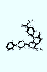 Cc1nc(N2CCN(c3ccccc3)CC2)nc2c1ccc(=O)n2-c1ccc(C(N)=O)cc1